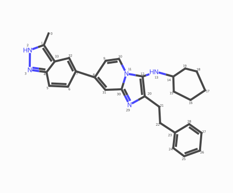 Cc1[nH]nc2ccc(-c3ccn4c(NC5CCCCC5)c(CCc5ccccc5)nc4c3)cc12